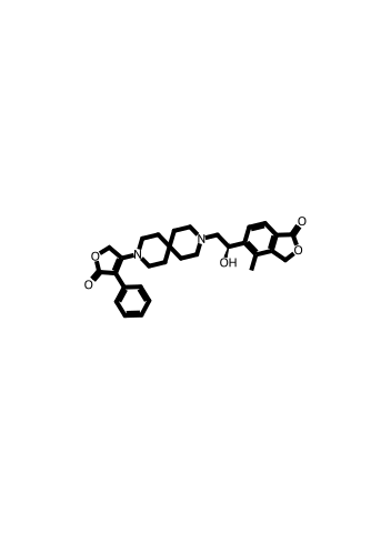 Cc1c([C@@H](O)CN2CCC3(CC2)CCN(C2=C(c4ccccc4)C(=O)OC2)CC3)ccc2c1COC2=O